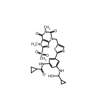 Cn1c(=O)c2c(nc(S(C)(=O)=O)n2C)n(Cc2cnc(-c3cc(NC(=O)C4CC4)cc(NC(O)C4CC4)c3)s2)c1=O